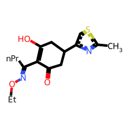 CCCC(=NOCC)C1=C(O)CC(c2csc(C)n2)CC1=O